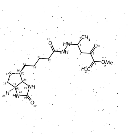 C=C(OC)C(=O)CC(C)NNC(=O)CCCC[C@@H]1SC[C@@H]2NC(=O)NC21